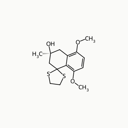 COc1ccc(OC)c2c1C[C@](C)(O)CC21SCCS1